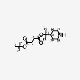 CC(C)(C)OC(=O)CCC(=O)OC(C)(C)C1CCNCC1